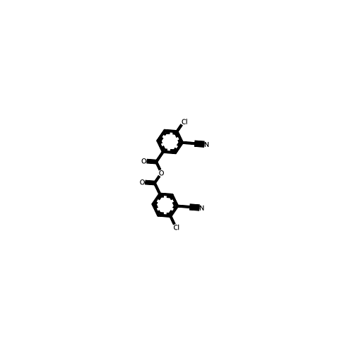 N#Cc1cc(C(=O)OC(=O)c2ccc(Cl)c(C#N)c2)ccc1Cl